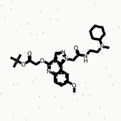 COc1ccc2nc(OCC(=O)OC(C)(C)C)c3cnn(CC(=O)NCCN(C)C4CCCCC4)c3c2c1